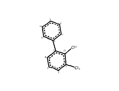 Clc1cccc(-c2ccccc2)c1Cl